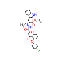 COC(=O)[C@H](Cc1c[nH]c2ccccc12)N(C)NC(=O)c1cc(=O)c2c(Oc3ccc(Br)cc3)cccc2o1